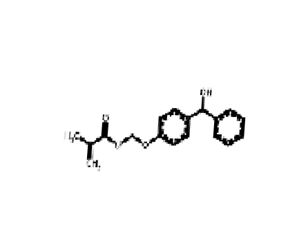 C=C(C)C(=O)OCOc1ccc(C(O)c2ccccc2)cc1